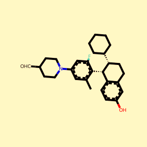 Cc1cc(N2CCC(C=O)CC2)cc(F)c1[C@H]1c2ccc(O)cc2CC[C@H]1C1CCCCC1